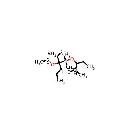 CCCC(CC)(O[SiH](C)C)[Si](C)(C)OC(CC)[SiH](C)C